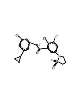 O=C(Nc1cc(Cl)cc(C2CC2)c1)c1cc(N2CCCS2(=O)=O)cc(Cl)c1Cl